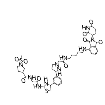 CS(=O)(=O)N1CCC(C(=O)NCC(=O)NC2NC(c3cccc(C4CCN(CC(=O)NCCCCCNc5cccc6c5C(=O)N(C5CCC(=O)NC5=O)C6=O)N4)c3)CS2)C1